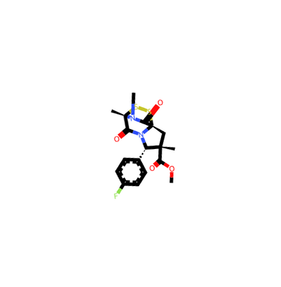 COC(=O)[C@@]1(C)C[C@@]23SS[C@@](C)(C(=O)N2[C@H]1c1ccc(F)cc1)N(C)C3=O